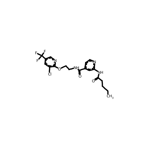 CCCCC(=O)Nc1cc(C(=O)NCCOc2ncc(C(F)(F)F)cc2Cl)ccn1